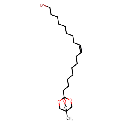 CC12COC(CCCCCCC/C=C\CCCCCCCCBr)(OC1)OC2